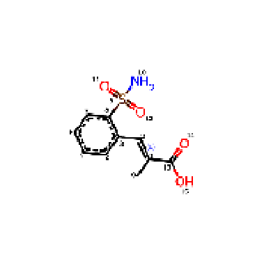 C/C(=C\c1ccccc1S(N)(=O)=O)C(=O)O